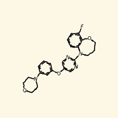 Fc1cccc2c1OCCCN2c1ncc(Oc2cccc(N3CCOCC3)c2)cn1